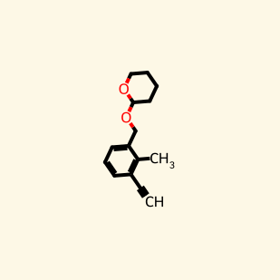 C#Cc1cccc(COC2CCCCO2)c1C